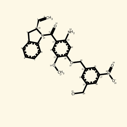 C=C[C@@H]1Cc2ccccc2N1C(=O)c1cc(OC)c(OCc2cc(CCl)cc([N+](=O)[O-])c2)cc1N